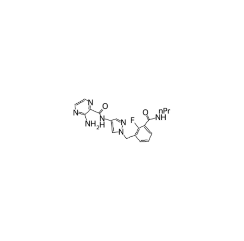 CCCNC(=O)c1cccc(Cn2cc(NC(=O)c3nccnc3N)cn2)c1F